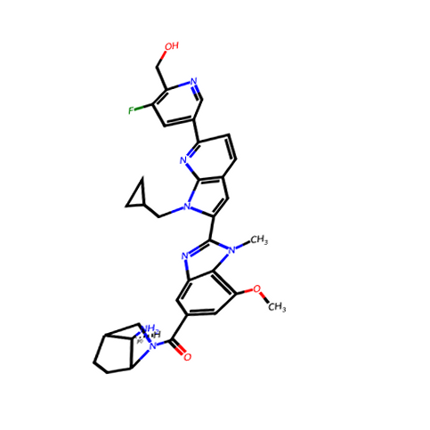 COc1cc(C(=O)N2CC3CCC2[C@@H]3N)cc2nc(-c3cc4ccc(-c5cnc(CO)c(F)c5)nc4n3CC3CC3)n(C)c12